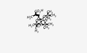 C/C(=C\O[Si](O[Si](C)(C)C)(O[Si](C)(C)C)O[Si](C)(C)C)C(=O)O